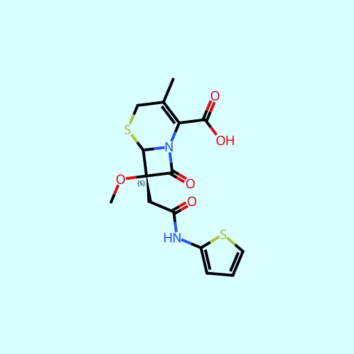 CO[C@@]1(CC(=O)Nc2cccs2)C(=O)N2C(C(=O)O)=C(C)CSC21